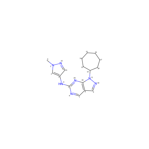 Cn1cc(Nc2ncc3cnn(C4CCCCCC4)c3n2)cn1